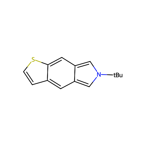 CC(C)(C)n1cc2cc3ccsc3cc2c1